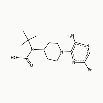 CC(C)(C)N(C(=O)O)C1CCN(c2nc(Br)cnc2N)CC1